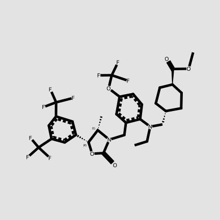 CCN(C[C@H]1CC[C@H](C(=O)OC)CC1)c1ccc(OC(F)(F)F)cc1CN1C(=O)O[C@H](c2cc(C(F)(F)F)cc(C(F)(F)F)c2)[C@@H]1C